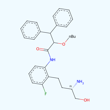 CCCCOC(C(=O)Nc1cccc(F)c1CC[C@H](N)CO)C(c1ccccc1)c1ccccc1